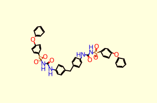 O=C(Nc1ccc(Cc2ccc(NC(=O)NS(=O)(=O)c3ccc(Oc4ccccc4)cc3)cc2)cc1)NS(=O)(=O)c1ccc(Oc2ccccc2)cc1